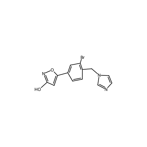 Oc1cc(-c2ccc(Cn3ccnc3)c(Br)c2)on1